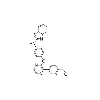 OCc1ccc(-c2nccnc2Oc2ccc(NC3=NC4C=CC=CC4S3)cc2)cn1